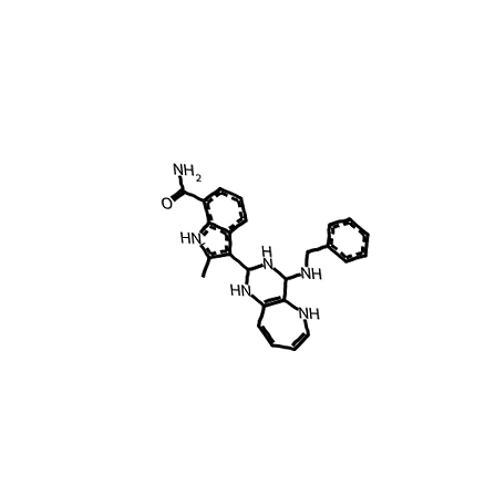 Cc1[nH]c2c(C(N)=O)cccc2c1C1NC2=C(NC=CC=C2)C(NCc2ccccc2)N1